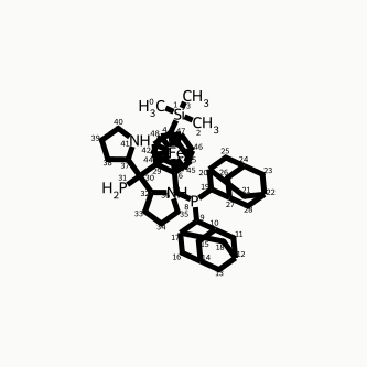 C[Si](C)(C)[C]12[CH]3[C]4(CP(C5C6CC7CC(C6)CC5C7)C5C6CC7CC(C6)CC5C7)[C]5(C(P)(C6CCCN6)C6CCCN6)[CH]1[Fe]34521678[CH]2[CH]1[CH]6[CH]7[CH]28